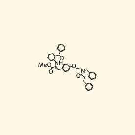 COC(=O)[C@H](Cc1ccc(OCCN(Cc2ccccc2)C(=O)CCc2ccccc2)cc1)Nc1ccccc1C(=O)c1ccccc1